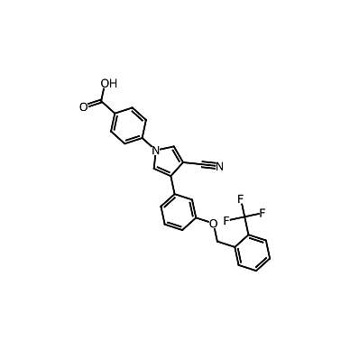 N#Cc1cn(-c2ccc(C(=O)O)cc2)cc1-c1cccc(OCc2ccccc2C(F)(F)F)c1